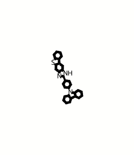 c1ccc2c(c1)sc1cc3nc(-c4ccc(-n5c6ccccc6c6ccccc65)cc4)[nH]c3cc12